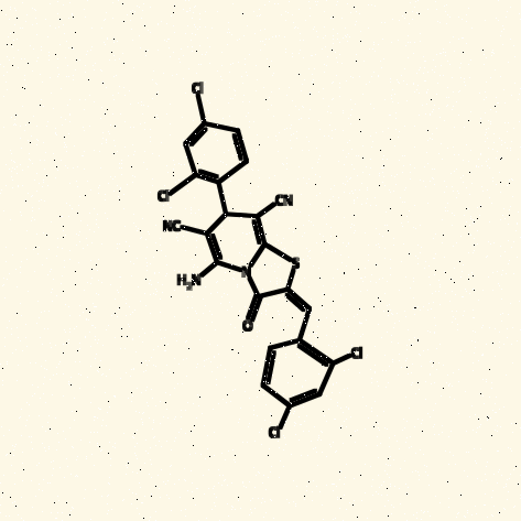 N#CC1=C(N)n2c(s/c(=C/c3ccc(Cl)cc3Cl)c2=O)=C(C#N)C1c1ccc(Cl)cc1Cl